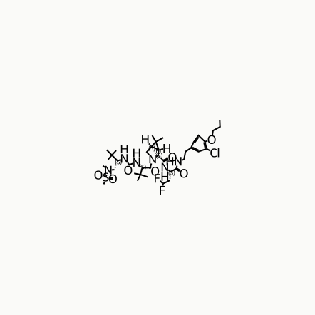 CCCOc1ccc(CCNC(=O)[C@H](CC(F)F)NC(=O)[C@@H]2[C@@H]3[C@H](CN2C(=O)[C@@H](NC(=O)N[C@H](CN(C)S(C)(=O)=O)C(C)(C)C)C(C)(C)C)C3(C)C)cc1Cl